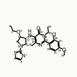 CCO[C@@H]1CN(c2nccs2)C[C@H]1Nc1c(C)nc(-c2ccc(OC)cc2Cl)n(CC)c1=O